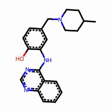 CC1CCN(Cc2ccc(O)c(Nc3ncnc4ccccc34)c2)CC1